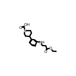 CCOC(=O)CCNc1cccc(C2CCN(C(=O)O)CC2)c1